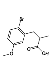 COc1ccc(Br)c(CC(C)C(=O)O)c1